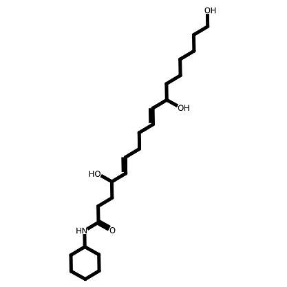 O=C(CCC(O)C=CCCC=CC(O)CCCCCCO)NC1CCCCC1